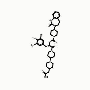 Bc1cc(C[C@@H](OC(=O)N2CCC(N3CCc4ccccc4NC3=O)CC2)C(=O)N2CCC(N3CCC(CC(=O)O)CC3)CC2)cc(Br)c1O